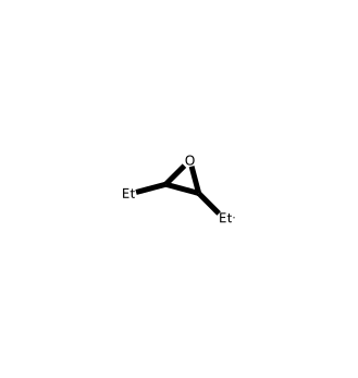 C[CH]C1OC1CC